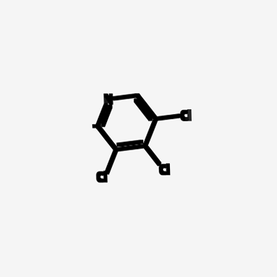 Clc1[c]ncc(Cl)c1Cl